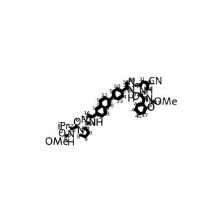 COC(=O)N[C@H](C(=O)N1CCC[C@H]1c1ncc(-c2ccc3cc(-c4ccc(-c5cnc([C@@H]6C[C@H](C#N)CN6C(=O)[C@H](NC(=O)OC)c6ccccc6)[nH]5)cc4)ccc3c2)[nH]1)C(C)C